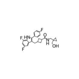 O=C(NCC1(CO)CC1)C1CC(Cc2c(-c3ccc(F)cc3)[nH]c3c(F)cc(F)cc23)C1